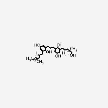 COC(C)(C)CCCC1=CC(O)C=C(CCCC2=CC(O)C=C(CCCC(C)(C)CO)C2O)C1O